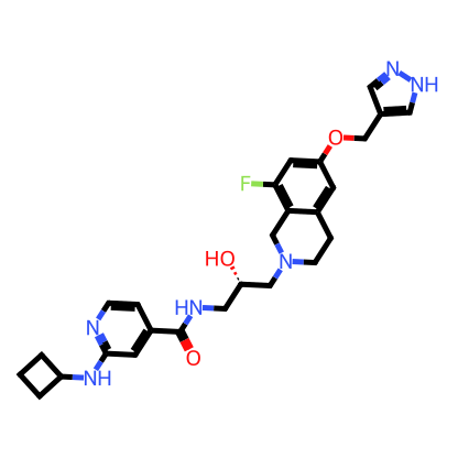 O=C(NC[C@H](O)CN1CCc2cc(OCc3cn[nH]c3)cc(F)c2C1)c1ccnc(NC2CCC2)c1